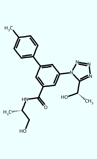 Cc1ccc(-c2cc(C(=O)N[C@@H](C)CO)cc(-n3nnnc3[C@H](C)O)c2)cc1